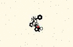 CC12CCC(C(=O)N3CCCC3c3nnc(-c4ccccc4)o3)(OC1=O)C2(C)C